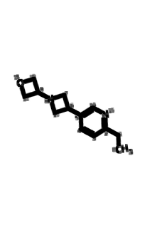 CCc1ccc(C2CN(C3COC3)C2)cn1